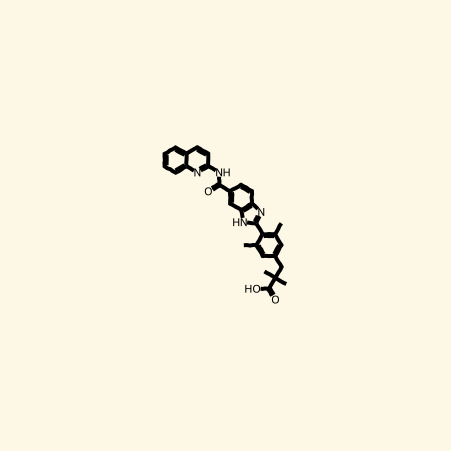 Cc1cc(CC(C)(C)C(=O)O)cc(C)c1-c1nc2ccc(C(=O)Nc3ccc4ccccc4n3)cc2[nH]1